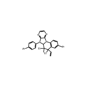 C=CC1(CC)c2cc(C(C)C)ccc2N2c3nccnc3N(c3ccc(C(C)C)cc3)C2C1(C)CC